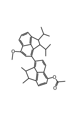 COc1cc(-c2ccc3c(OC(C)=O)ccc4c3c2C(C)C4C)c2c3c(cccc13)C(C(C)C)C2C(C)C